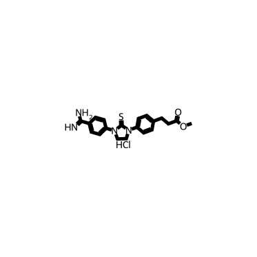 COC(=O)CCc1ccc(N2CCN(c3ccc(C(=N)N)cc3)C2=S)cc1.Cl